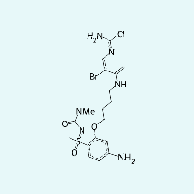 C=C(NCCCCOc1cc(N)ccc1S(C)(=O)=NC(=O)NC)/C(Br)=C\N=C(/N)Cl